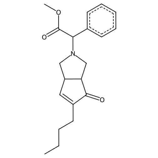 CCCCC1=CC2CN(C(C(=O)OC)c3ccccc3)CC2C1=O